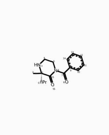 CCC[C@]1(C)NCCN(C(=O)c2ccccc2)C1=O